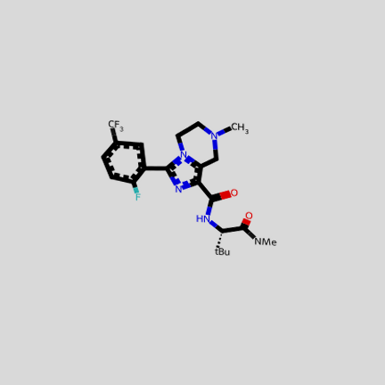 CNC(=O)[C@@H](NC(=O)c1nc(-c2cc(C(F)(F)F)ccc2F)n2c1CN(C)CC2)C(C)(C)C